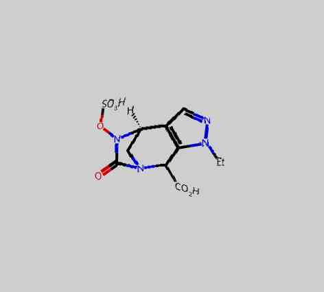 CCn1ncc2c1C(C(=O)O)N1C[C@H]2N(OS(=O)(=O)O)C1=O